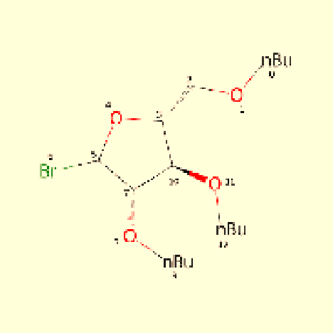 CCCCOC[C@H]1OC(Br)[C@@H](OCCCC)[C@@H]1OCCCC